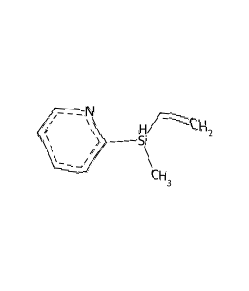 C=C[SiH](C)c1ccccn1